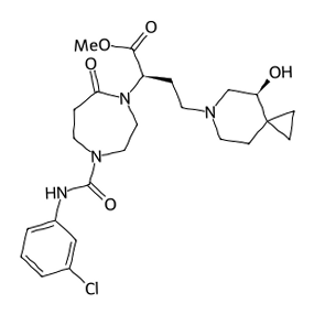 COC(=O)[C@@H](CCN1CCC2(CC2)[C@H](O)C1)N1CCN(C(=O)Nc2cccc(Cl)c2)CCC1=O